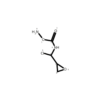 NOC(=O)NC(Cl)C1CO1